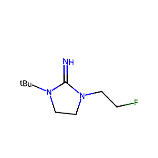 CC(C)(C)N1CCN(CCF)C1=N